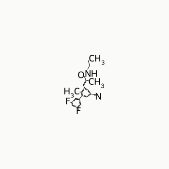 CCCCNC(=O)/C(C)=C/c1cc(C#N)cc(-c2cc(F)cc(F)c2)c1C